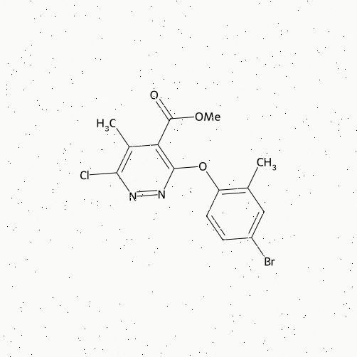 COC(=O)c1c(Oc2ccc(Br)cc2C)nnc(Cl)c1C